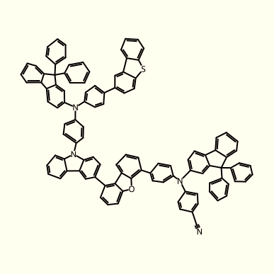 N#Cc1ccc(N(c2ccc(-c3cccc4c3oc3cccc(-c5ccc6c(c5)c5ccccc5n6-c5ccc(N(c6ccc(-c7ccc8sc9ccccc9c8c7)cc6)c6ccc7c(c6)C(c6ccccc6)(c6ccccc6)c6ccccc6-7)cc5)c34)cc2)c2ccc3c(c2)C(c2ccccc2)(c2ccccc2)c2ccccc2-3)cc1